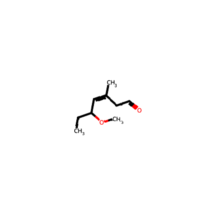 CCC(C=C(C)CC=O)OC